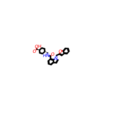 O=C(NC[C@H]1CC[C@H](C(=O)O)CC1)c1cccc2ccn(Cc3cc4ccccc4o3)c12